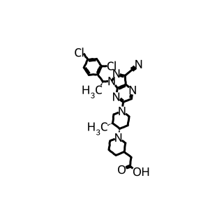 C[C@@H]1CN(c2cnc3c(C#N)nn([C@H](C)c4ccc(Cl)cc4Cl)c3n2)CC[C@@H]1N1CCCC(CC(=O)O)C1